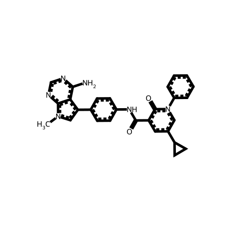 Cn1cc(-c2ccc(NC(=O)c3cc(C4CC4)cn(-c4ccccc4)c3=O)cc2)c2c(N)ncnc21